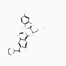 COCC(Nc1ncnc2cc(C(=O)C3NCCS3)c(Br)cc12)c1nc2cc(Cl)ccc2[nH]1